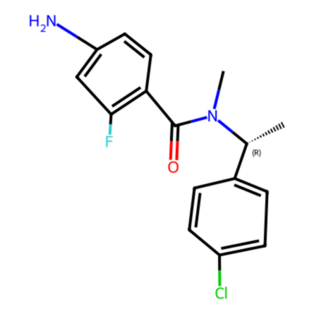 C[C@H](c1ccc(Cl)cc1)N(C)C(=O)c1ccc(N)cc1F